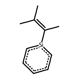 CC(C)=C(C)[si]1ccccc1